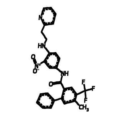 Cc1cc(-c2ccccc2)c(C(=O)Nc2ccc(NCCc3ccccn3)c([N+](=O)[O-])c2)cc1C(F)(F)F